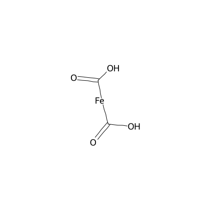 O=[C](O)[Fe][C](=O)O